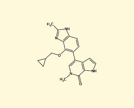 Cc1nc2c(OCC3CC3)c(-c3cn(C)c(=O)c4[nH]ccc34)ccc2[nH]1